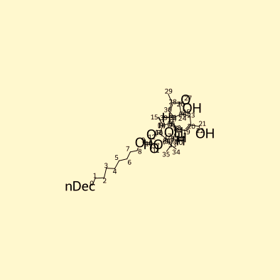 CCCCCCCCCCCCCCCCCCOC(=O)O[C@@H]1[C@@H](C)[C@@]2(O)[C@@H](C=C(CO)C[C@]3(O)C(=O)C(C)=C[C@@H]23)[C@H]2C(C)(C)[C@]12O